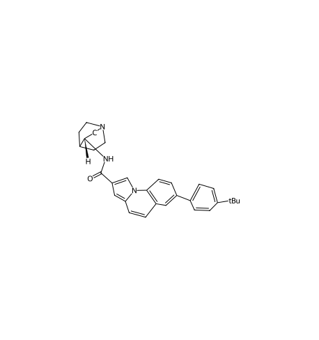 CC(C)(C)c1ccc(-c2ccc3c(ccc4cc(C(=O)N[C@H]5CN6CCC5CC6)cn43)c2)cc1